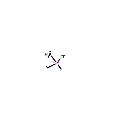 [BH3-][P+](C)(C)Cl